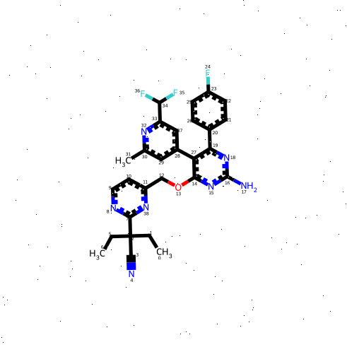 CCC(C#N)(CC)c1nccc(COc2nc(N)nc(-c3ccc(F)cc3)c2-c2cc(C)nc(C(F)F)c2)n1